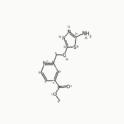 COC(=O)c1ccnc(COc2nnc(N)s2)c1